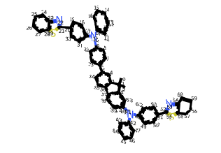 CC1(C)c2cc(-c3ccc(N(c4ccccc4)c4ccc(-c5nc6ccccc6s5)cc4)cc3)ccc2-c2ccc(N(c3ccccc3)c3ccc(-c4nc5c(s4)CCC=C5)cc3)cc21